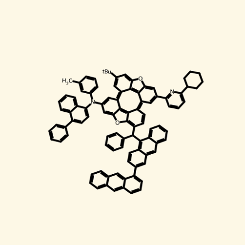 Cc1cccc(N(c2cc3oc4c(C(c5ccccc5)c5c6ccccc6cc6cc(-c7cccc8cc9ccccc9cc78)ccc56)ccc5c6cc(-c7cccc(C8CCCCC8)n7)cc7oc8cc(C(C)(C)C)cc(c(c2)c3c45)c8c76)c2ccc(-c3ccccc3)c3ccccc23)c1